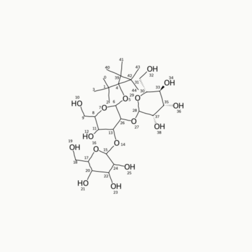 CC(C)(C)C1(OC2OC(CO)C(O)C(OC3OC(CO)C(O)C(O)C3O)C2OC2O[C@H](CO)[C@@H](O)[C@H](O)[C@@H]2O)C(C)(C)C1(C)C